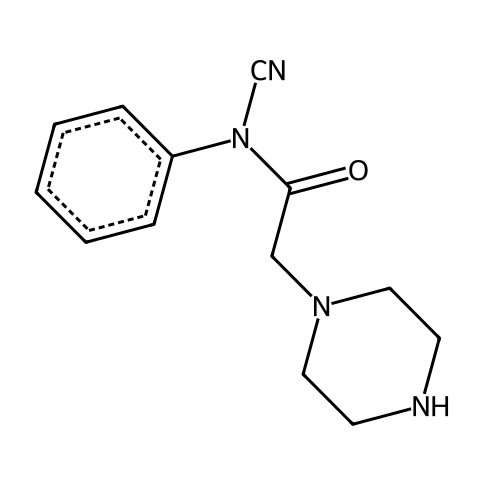 N#CN(C(=O)CN1CCNCC1)c1ccccc1